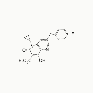 CCOC(=O)c1c(O)c2ncc(Cc3ccc(F)cc3)cc2n(C2CC2)c1=O